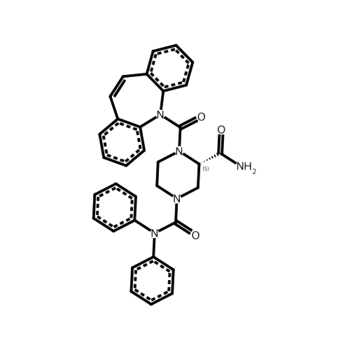 NC(=O)[C@@H]1CN(C(=O)N(c2ccccc2)c2ccccc2)CCN1C(=O)N1c2ccccc2C=Cc2ccccc21